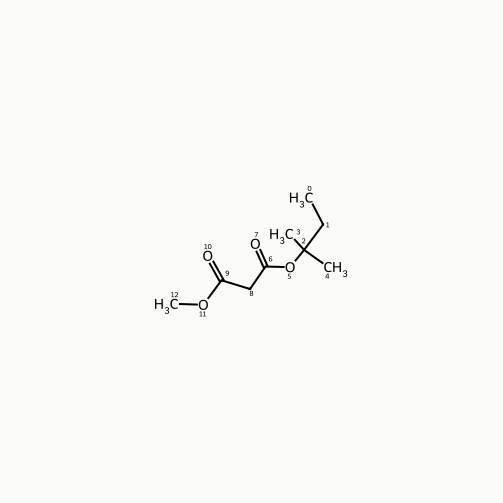 CCC(C)(C)OC(=O)CC(=O)OC